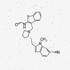 Cn1c(CC[C@@H]2CCCN2Cc2c(NC=O)sc3ccccc23)cc2ccc(C#N)cc21